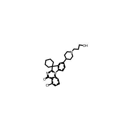 O=c1nc2n(c3cccc(Cl)c13)-c1ccc(C3CCN(CCCO)CC3)cc1C21CCCCC1